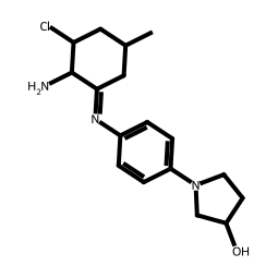 CC1CC(=Nc2ccc(N3CCC(O)C3)cc2)C(N)C(Cl)C1